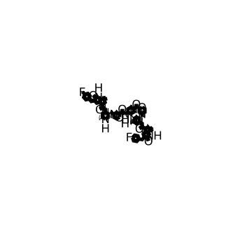 C[C@@H]1CN(CC(=O)N2CC(C)(C)c3[nH]c(=O)c(Cc4ccc(F)cc4)cc32)[C@@H](CN2CCO[C@H](C(=O)NC3CCN(C(=O)[C@@H]4CN(C[C@H]5CN[C@H](C)CN5CC(=O)N5CC(C)(C)c6[nH]c(=O)c(Cc7ccc(F)cc7)cc65)CCO4)CC3)C2)CN1